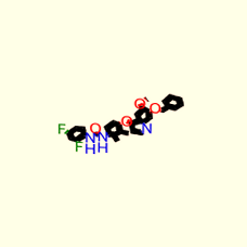 COc1cc2c(Oc3ccc(NC(=O)Nc4ccc(F)cc4F)c(C)c3C)ccnc2cc1OCc1ccccc1